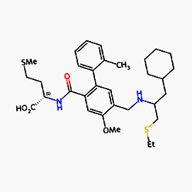 CCSCC(CC1CCCCC1)NCc1cc(-c2ccccc2C)c(C(=O)N[C@@H](CCSC)C(=O)O)cc1OC